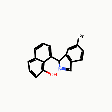 CC(C)c1ccc2c(c1)C(c1cccc3cccc(O)c13)N=C2